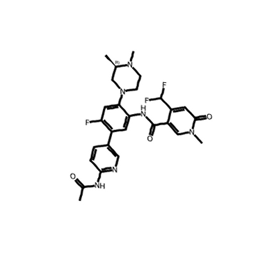 CC(=O)Nc1ccc(-c2cc(NC(=O)c3cn(C)c(=O)cc3C(F)F)c(N3CCN(C)[C@H](C)C3)cc2F)cn1